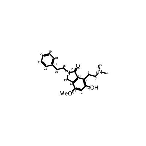 COc1cc(O)c(CCN(C)C)c2c1CN(CCc1ccccc1)C2=O